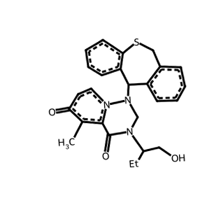 CCC(CO)N1CN(C2c3ccccc3CSc3ccccc32)n2ccc(=O)c(C)c2C1=O